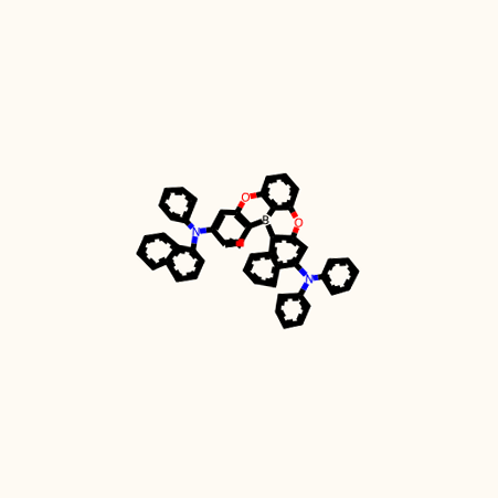 C1=CC2C(N(c3ccccc3)c3cccc4ccccc34)=CC3=C(B4c5c(cccc5Oc5cc(N(c6ccccc6)c6ccccc6)c6ccccc6c54)O3)C2C=C1